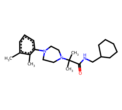 Cc1cccc(N2CCN(C(C)(C)C(=O)NCC3CCCCC3)CC2)c1C